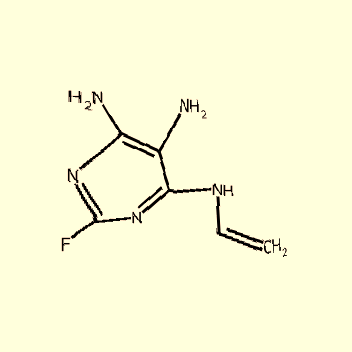 C=CNc1nc(F)nc(N)c1N